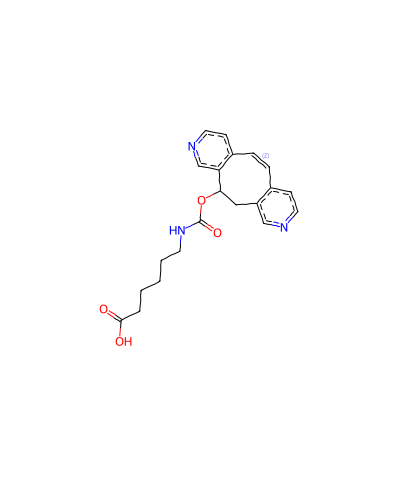 O=C(O)CCCCCNC(=O)OC1Cc2cnccc2/C=C\c2ccncc21